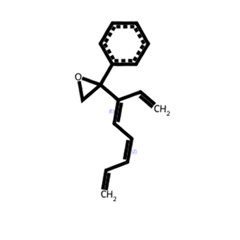 C=C/C=C\C=C(/C=C)C1(c2ccccc2)CO1